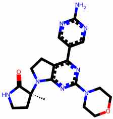 C[C@]1(N2CCc3c(-c4cnc(N)nc4)nc(N4CCOCC4)nc32)CCNC1=O